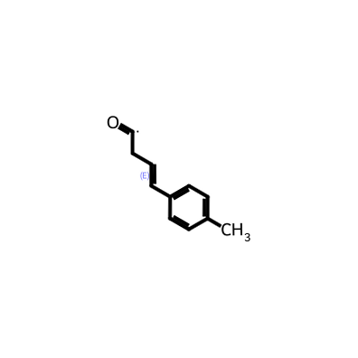 Cc1ccc(/C=C/C[C]=O)cc1